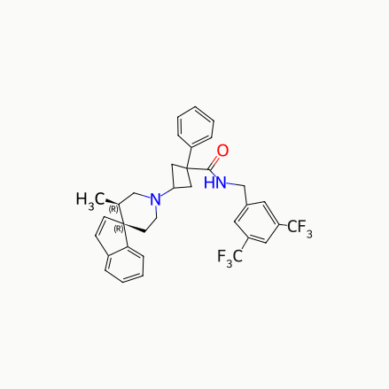 C[C@H]1CN(C2CC(C(=O)NCc3cc(C(F)(F)F)cc(C(F)(F)F)c3)(c3ccccc3)C2)CC[C@@]12C=Cc1ccccc12